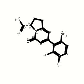 Nc1ccc(Cl)c(F)c1-c1cc2n(c(=O)c1)[C@H](C(=O)O)CC2